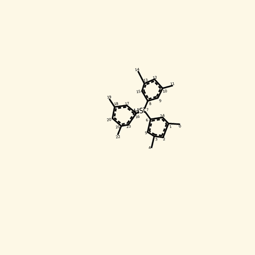 Cc1cc(C)cc([SiH](c2cc(C)cc(C)c2)c2cc(C)cc(C)c2)c1